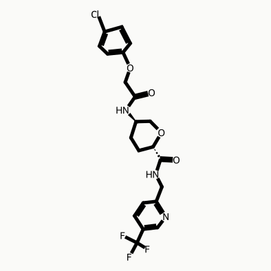 O=C(COc1ccc(Cl)cc1)N[C@@H]1CC[C@@H](C(=O)NCc2ccc(C(F)(F)F)cn2)OC1